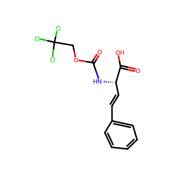 O=C(N[C@@H](/C=C/c1ccccc1)C(=O)O)OCC(Cl)(Cl)Cl